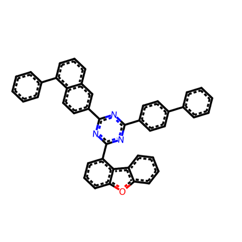 c1ccc(-c2ccc(-c3nc(-c4ccc5c(-c6ccccc6)cccc5c4)nc(-c4cccc5oc6ccccc6c45)n3)cc2)cc1